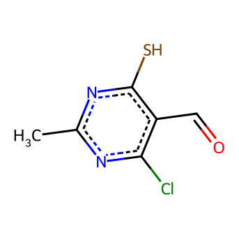 Cc1nc(S)c(C=O)c(Cl)n1